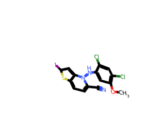 COc1cc(NN2C(C#N)=CC=C3SC(I)C=C32)c(Cl)cc1Cl